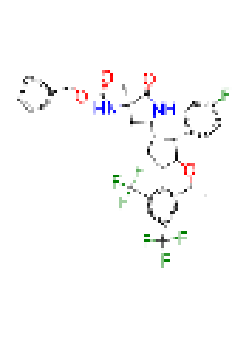 C[C@@H](O[C@H]1CC[C@@H]([C@H]2C[C@@](C)(NC(=O)OCc3ccccc3)C(=O)N2)[C@@H]1c1ccc(F)cc1)c1cc(C(F)(F)F)cc(C(F)(F)F)c1